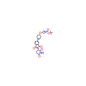 CC(C)(C)OC(=O)N1CC(OC2CCN(c3ccc4c(c3)C(=O)N(C3CCC(=O)NC3=O)C4=O)CC2)C1